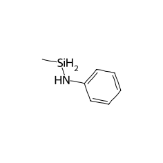 C[SiH2]Nc1ccccc1